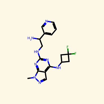 Cn1ncc2c(NC3CC(F)(F)C3)nc(NCC(N)c3cccnc3)nc21